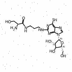 NC(CO)C(=O)NCCCNc1nc(S)c2ncn([C@@H]3O[C@H](CO)C(O)[C@@H]3O)c2n1